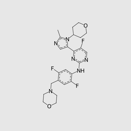 Cc1ncc(-c2nc(Nc3cc(F)c(CN4CCOCC4)cc3F)ncc2F)n1C1CCOCC1